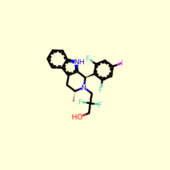 C[C@@H]1Cc2c([nH]c3ccccc23)[C@@H](c2c(F)cc(I)cc2F)N1CC(F)(F)CO